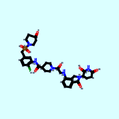 O=C1CCN(S(=O)(=O)Cc2ccc(F)c(NC(=O)C3CCN(C(=O)CNc4cccc5c4CN(C4CCC(=O)NC4=O)C5=O)CC3)c2)CC1